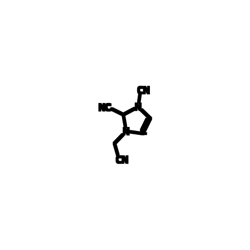 N#CCN1[C]=CN(C#N)C1C#N